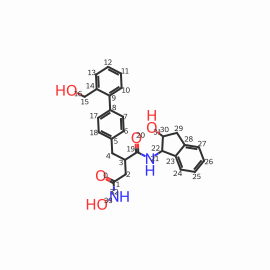 O=C(CC(Cc1ccc(-c2ccccc2CO)cc1)C(=O)NC1c2ccccc2CC1O)NO